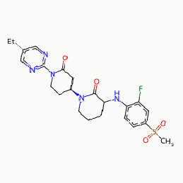 CCc1cnc(N2CC[C@H](N3CCCC(Nc4ccc(S(C)(=O)=O)cc4F)C3=O)CC2=O)nc1